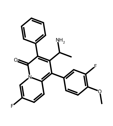 COc1ccc(-c2c(C(C)N)c(-c3ccccc3)c(=O)n3cc(F)ccc23)cc1F